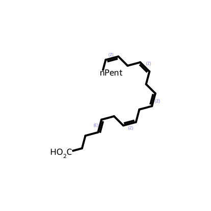 CCCCC/C=C\C/C=C\C/C=C\C/C=C\C/C=C/CCC(=O)O